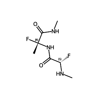 CNC(=O)[C@@](C)(F)NC(=O)[C@H](F)NC